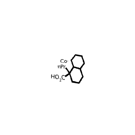 [CH2]CCC1(C(=O)O)CCCC2CCCCC21.[Co]